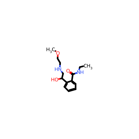 CCNC(=O)c1ccccc1C(O)CNCCOC